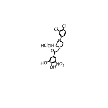 Cl.Cl.O=C(CN1CCN(c2ccc(Cl)c(Cl)c2)CC1)c1cc(O)c(O)c([N+](=O)[O-])c1